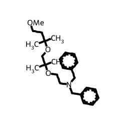 COCCC(C)(C)OCC(C)(C)OCCN(Cc1ccccc1)Cc1ccccc1